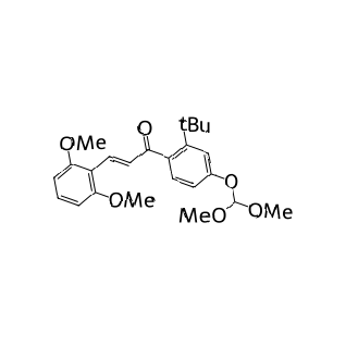 COc1cccc(OC)c1/C=C/C(=O)c1ccc(OC(OC)OC)cc1C(C)(C)C